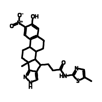 Cc1cnc(NC(=O)CCC2c3c[nH]nc3C3(C)CCC4c5cc([N+](=O)[O-])c(O)cc5CCC4C23)s1